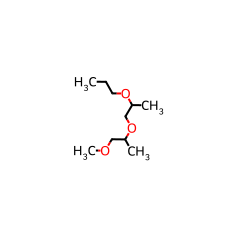 CCCOC(C)COC(C)COC